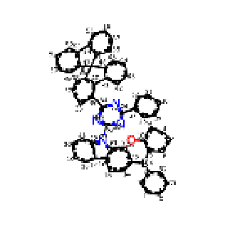 c1ccc(B2c3ccccc3Oc3c2ccc2c4ccccc4n(-c4nc(-c5ccccc5)nc(-c5cccc6c5-c5ccccc5C65c6ccccc6-c6ccccc65)n4)c32)cc1